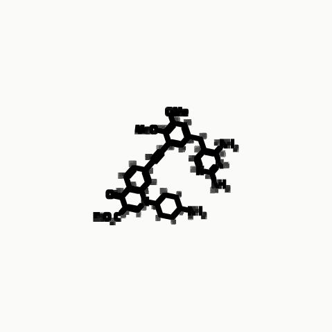 CCOC(=O)c1cn(C2CCC(N)CC2)c2cc(C#Cc3cc(Cc4cnc(N)nc4N)cc(OC)c3OC)ccc2c1=O